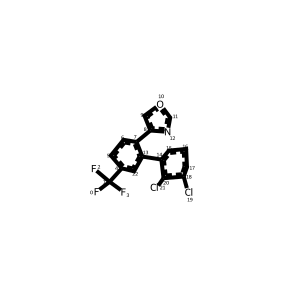 FC(F)(F)c1ccc(-c2cocn2)c(-c2cccc(Cl)c2Cl)c1